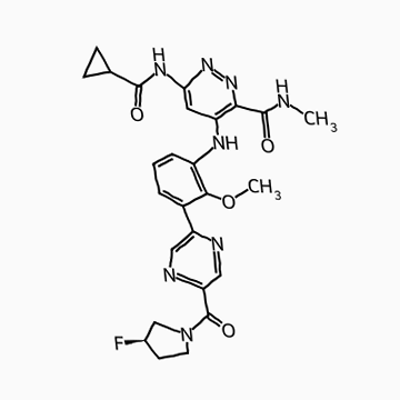 CNC(=O)c1nnc(NC(=O)C2CC2)cc1Nc1cccc(-c2cnc(C(=O)N3CC[C@@H](F)C3)cn2)c1OC